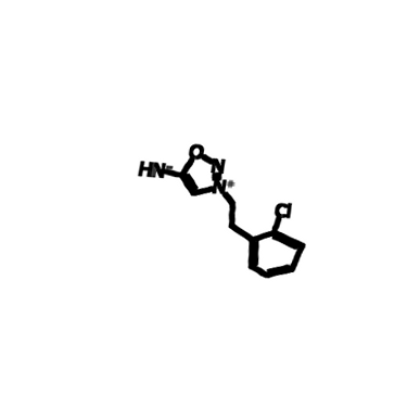 [NH-]c1c[n+](CCc2ccccc2Cl)no1